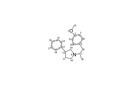 COc1ccc(CC(C)N2CCC(c3ccccc3)C2)cc1